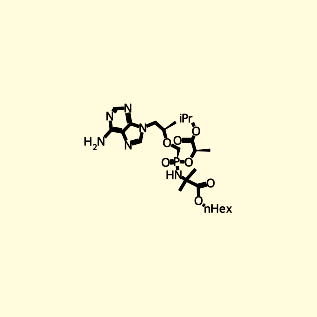 CCCCCCOC(=O)C(C)(C)N[P@@](=O)(CO[C@H](C)Cn1cnc2c(N)ncnc21)O[C@H](C)C(=O)OC(C)C